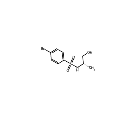 C[C@@H](CO)NS(=O)(=O)c1ccc(Br)cc1